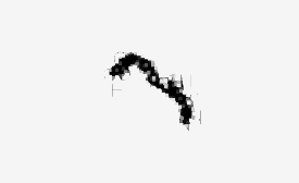 C=CC1=C(/C=C(C)/C=C2/CCCC(CN3CCC=C(Cc4ccc5c(c4)CN(C4CCC(=O)NC4=O)C5=O)CC3)CC2)CN([C@H]2CC[C@H](Oc3ccc(C#N)c(Cl)c3)CC2)C1=O